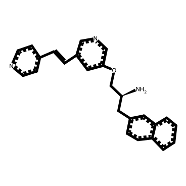 N[C@H](COc1cncc(/C=C/c2ccncc2)c1)Cc1ccc2ccccc2c1